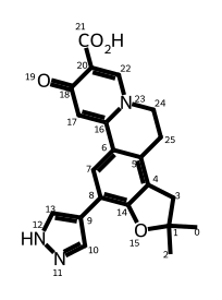 CC1(C)Cc2c3c(cc(-c4cn[nH]c4)c2O1)-c1cc(=O)c(C(=O)O)cn1CC3